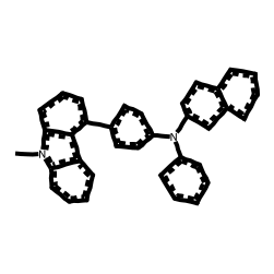 Cn1c2ccccc2c2c(-c3ccc(N(c4ccccc4)c4ccc5ccccc5c4)cc3)cccc21